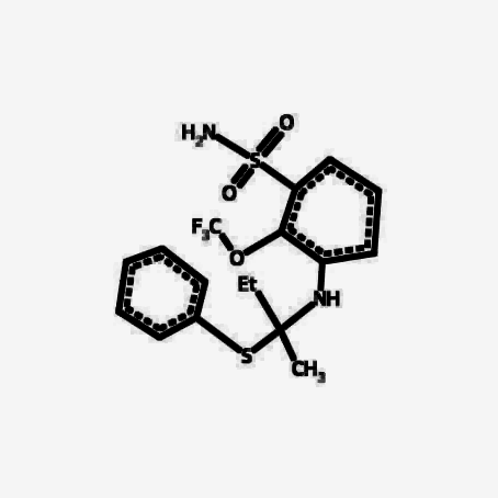 CCC(C)(Nc1cccc(S(N)(=O)=O)c1OC(F)(F)F)Sc1ccccc1